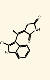 CC(=C1SC(=O)NC1=O)c1c(Cl)[nH]c2ccccc12